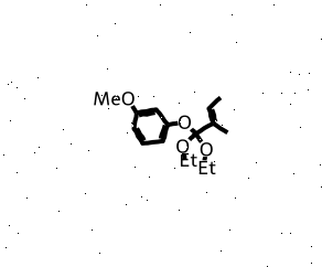 CC=C(C)C(OCC)(OCC)Oc1cccc(OC)c1